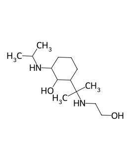 CC(C)NC1CCCC(C(C)(C)NCCO)C1O